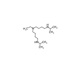 CCN(CCCCNC(C)C)CCCCNC(C)C